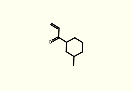 C=CC(=O)C1CCCC(C)C1